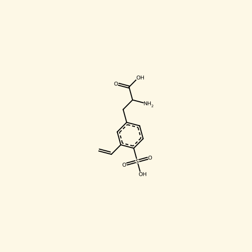 C=Cc1cc(CC(N)C(=O)O)ccc1S(=O)(=O)O